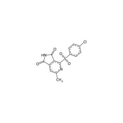 Cc1cc2c(c(S(=O)(=O)c3ccc(Cl)cc3)n1)C(=O)NC2=O